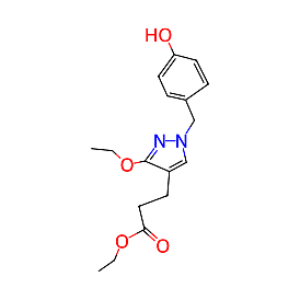 CCOC(=O)CCc1cn(Cc2ccc(O)cc2)nc1OCC